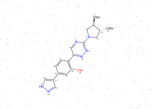 CN[C@@H]1CN(c2ncc(-c3ccc(-c4cn[nH]c4)cc3O)nn2)C[C@H]1OC